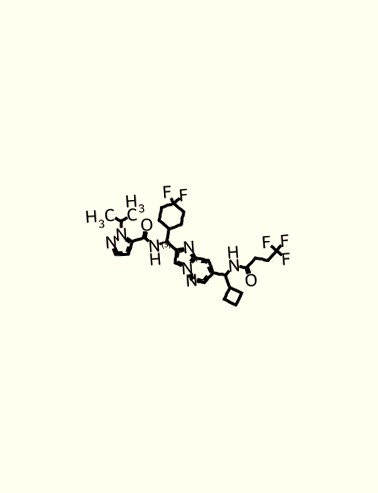 CC(C)n1nccc1C(=O)N[C@H](c1cn2ncc(C(NC(=O)CCC(F)(F)F)C3CCC3)cc2n1)C1CCC(F)(F)CC1